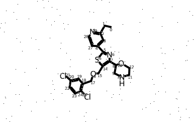 CCc1cc(-c2nc(C3CNCCO3)c(COCc3cc(Cl)ccc3Cl)s2)ccn1